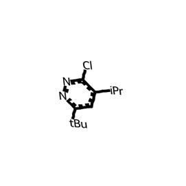 CC(C)c1cc(C(C)(C)C)nnc1Cl